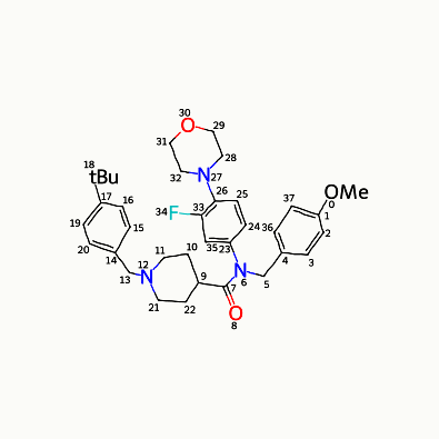 COc1ccc(CN(C(=O)C2CCN(Cc3ccc(C(C)(C)C)cc3)CC2)c2ccc(N3CCOCC3)c(F)c2)cc1